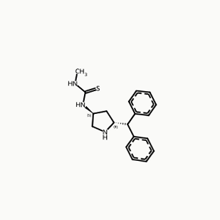 CNC(=S)N[C@@H]1CN[C@@H](C(c2ccccc2)c2ccccc2)C1